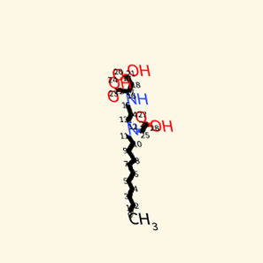 CCCCCCCCCCCCN(CCCNC(CC(=O)O)C(=O)O)CC(=O)O